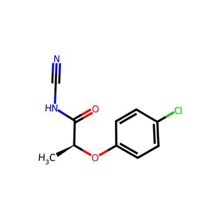 C[C@H](Oc1ccc(Cl)cc1)C(=O)NC#N